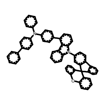 c1ccc(-c2ccc(N(c3ccccc3)c3ccc(-c4cccc5c4c4ccccc4n5-c4ccc5c(c4)C4(c6ccccc6Oc6ccccc64)c4ccccc4-5)cc3)cc2)cc1